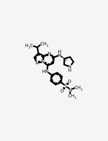 CC(C)c1cnn2c(Nc3ccc(S(=O)(=O)N(C)C)cc3)cc(N[C@H]3CCNC3)nc12